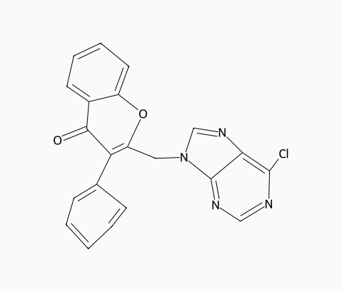 O=c1c(-c2ccccc2)c(Cn2cnc3c(Cl)ncnc32)oc2ccccc12